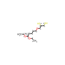 CCOC(OCC)[SiH2]CCCOCC(S)CS